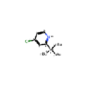 CCC[CH2][Sn]([CH2]CCC)([CH2]CCC)[c]1cc(Cl)ccn1